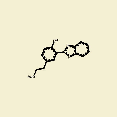 COCCc1ccc(O)c(-n2nc3ccccc3n2)c1